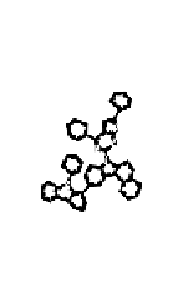 c1ccc(-c2cc3c(-c4ccccc4)nc(-n4c5ccc(-c6cccc7c8ccccc8n(-c8ccccc8)c67)cc5c5c6ccccc6ccc54)nc3s2)cc1